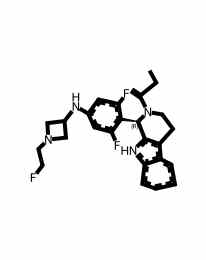 C=C(CC)N1CCc2c([nH]c3ccccc23)[C@H]1c1c(F)cc(NC2CN(CCF)C2)cc1F